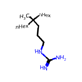 CCCCCCC(C)(CCCCCC)CCCNC(=N)N